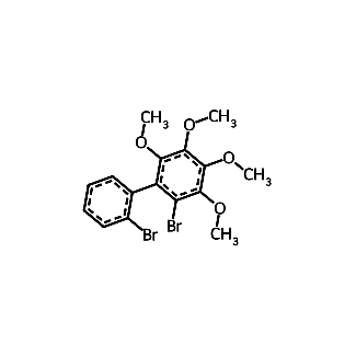 COc1c(Br)c(-c2ccccc2Br)c(OC)c(OC)c1OC